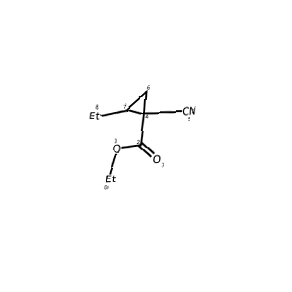 CCOC(=O)C1(C#N)CC1CC